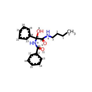 CCCCNC(=O)C(O)(NC(=O)c1ccccc1)c1ccccc1